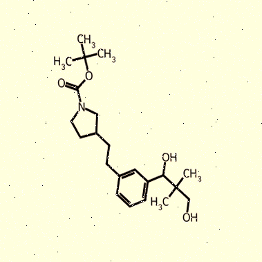 CC(C)(C)OC(=O)N1CCC(CCc2cccc(C(O)C(C)(C)CO)c2)C1